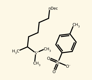 CCCCCCCCCCCCCCC(C)[S+](C)C.Cc1ccc(S(=O)(=O)[O-])cc1